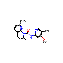 CC(C)Oc1cc(NC(=O)N2c3nc(C=O)ccc3CCC2C)ncc1C#N